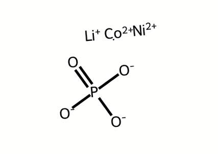 O=P([O-])([O-])[O-].[Co+2].[Li+].[Ni+2]